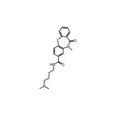 CN(C)CCCCNC(=O)c1ccc2c(c1)N(C)C(=O)c1ccccc1S2